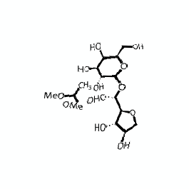 COC(C)OC.O=C[C@H](OC1O[C@H](CO)[C@H](O)[C@H](O)[C@H]1O)[C@H]1OC[C@@H](O)[C@@H]1O